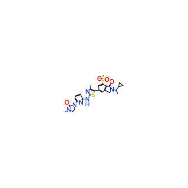 Cc1nc(Nc2cccc(N3CCN(C)C3=O)n2)sc1-c1cc2c(c(S(C)(=O)=O)c1)C(=O)N(C(C)C1CC1)C2